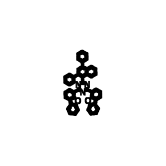 c1ccc(-c2cc(-c3ccccc3)c3ccccc3c2-c2nc(-c3cccc4c3oc3ccccc34)nc(-c3cccc4c3oc3ccccc34)n2)cc1